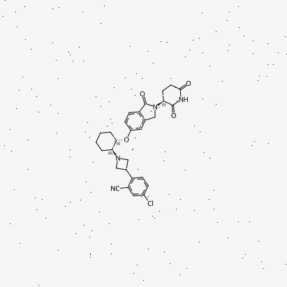 N#Cc1cc(Cl)ccc1C1CN([C@H]2CCCC[C@@H]2Oc2ccc3c(c2)CN([C@H]2CCC(=O)NC2=O)C3=O)C1